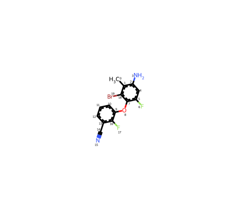 Cc1c(N)cc(F)c(Oc2cccc(C#N)c2F)c1Br